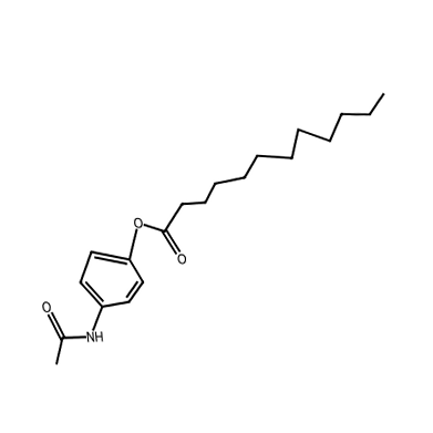 CCCCCCCCCCCC(=O)Oc1ccc(NC(C)=O)cc1